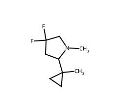 CN1CC(F)(F)CC1C1(C)CC1